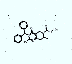 CC1Cc2nc(S)n(C(c3ccccc3)c3ccccc3)c(=O)c2CN1C(=O)OC(C)(C)C